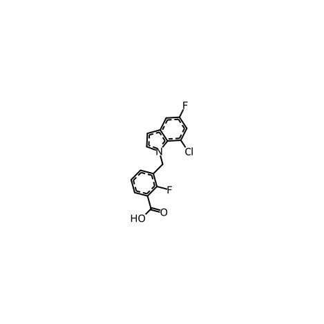 O=C(O)c1cccc(Cn2ccc3cc(F)cc(Cl)c32)c1F